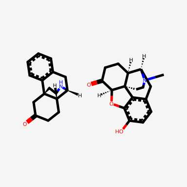 CN1CC[C@]23c4c5ccc(O)c4O[C@H]2C(=O)CC[C@H]3[C@H]1C5.O=C1CC[C@H]2[C@H]3Cc4ccccc4[C@@]2(CCN3)C1